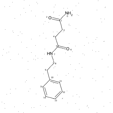 NC(=O)CCC(=O)NCCc1ccccc1